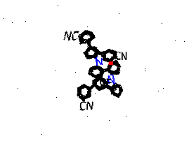 N#Cc1cccc(-c2ccc3c(c2)c2ccccc2n3-c2ccc(C#N)cc2-c2c(-n3c4ccccc4c4cc(-c5cccc(C#N)c5)ccc43)cccc2C(F)(F)F)c1